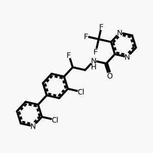 O=C(NCC(F)c1ccc(-c2cccnc2Cl)cc1Cl)c1nccnc1C(F)(F)F